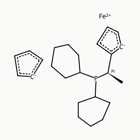 C[C@H](c1ccc[cH-]1)P(C1CCCCC1)C1CCCCC1.[Fe+2].c1cc[cH-]c1